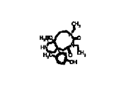 CCN1CCC[C@@]2(O)[C@@H](C)NCC[C@]2(c2cc(O)ccc2C)CC(=O)N(CC)C1=O